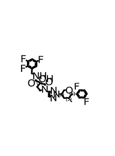 C[C@H]1C[C@@H](n2ncc(N3CC[C@](O)(C(=O)NCc4cc(F)cc(F)c4F)C3=O)n2)CO[C@@H]1c1cc(F)ccc1F